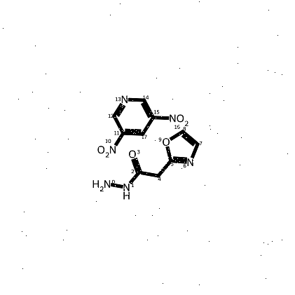 NNC(=O)Cc1ncco1.O=[N+]([O-])c1cncc([N+](=O)[O-])c1